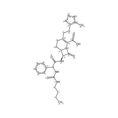 CCCCNC(=O)NC(C(=O)N[C@@H]1C(=O)N2C(C(=O)O)=C(CSc3nnnn3C)CSC12)c1ccccc1